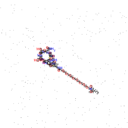 C/C=C\CC(C)(CCC)C1CC(=O)N(CCOCCOCCOCCOCCOCCOCCOCCOCCC(=O)NCCCCSCc2c(OC)ccc3c4c([nH]c23)[S+]([O-])C[C@@H]2NC(=O)CNC(=O)[C@H]([C@@H](C)CC)NC(=O)CCNC(=O)[C@H](C4)NC(=O)[C@H]([C@@H](C)[C@@H](O)CO)NC(=O)[C@@H]3C[C@@H](O)CN3C(=O)[C@H](CCC(N)=O)NC2=O)C1=O